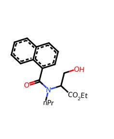 CCCN(C(=O)c1cccc2ccccc12)C(CO)C(=O)OCC